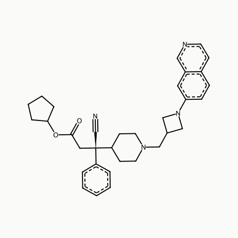 N#C[C@](CC(=O)OC1CCCC1)(c1ccccc1)C1CCN(CC2CN(c3ccc4ccncc4c3)C2)CC1